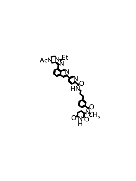 CCc1nc(-c2cccc3cc(-c4ccc(C(=O)NCCCc5cccc(C(=O)N(C)C6CCC(=O)NC6=O)c5)nc4)ncc23)c2n1CCN(C(C)=O)C2